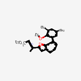 CCOC(=O)/C=C(\C)c1cc2cccc(-c3cc(C(C)(C)C)cc(C(C)(C)C)c3OCC)c2o1